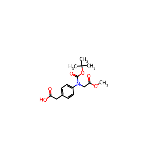 COC(=O)CN(C(=O)OC(C)(C)C)c1ccc(CC(=O)O)cc1